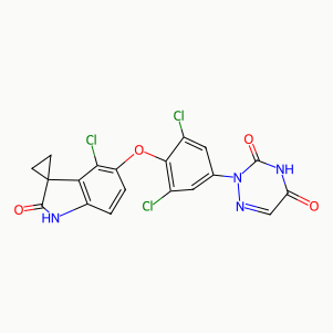 O=C1Nc2ccc(Oc3c(Cl)cc(-n4ncc(=O)[nH]c4=O)cc3Cl)c(Cl)c2C12CC2